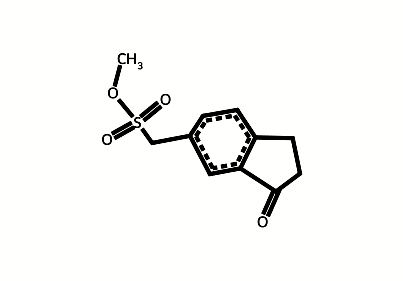 COS(=O)(=O)Cc1ccc2c(c1)C(=O)CC2